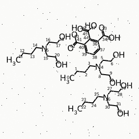 CCCCN(CCO)CCO.CCCCN(CCO)CCO.CCCCN(CCO)CCO.O=C(O)c1cccc(C(=O)O)c1C(=O)O